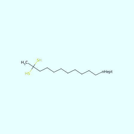 CCCCCCCCCCCCCCCCC(C)(S)S